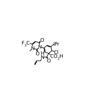 C=CCNC(=O)C1(C(=O)O)C=C(n2c(=O)cc(C(F)(F)F)n(C)c2=O)C=C(C(C)C)C1Cl